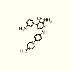 Cc1c(N)nc(Nc2ccc(N3CCN(C)CC3)cc2)nc1-c1cccc(N)c1